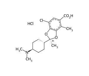 Cc1c(C(=O)O)cc(Cl)c2c1O[C@@](C)([C@H]1CC[C@H](N(C)C)CC1)O2.Cl